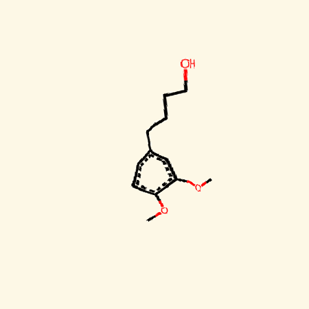 COc1ccc(CCCCO)cc1OC